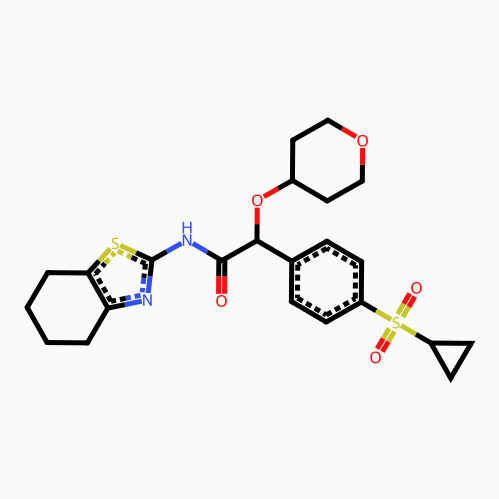 O=C(Nc1nc2c(s1)CCCC2)C(OC1CCOCC1)c1ccc(S(=O)(=O)C2CC2)cc1